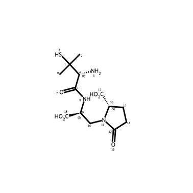 CC(C)(S)[C@H](N)C(=O)N[C@@H](CN1C(=O)CC[C@H]1C(=O)O)C(=O)O